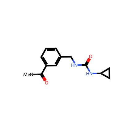 CNC(=O)c1cccc(CNC(=O)NC2CC2)c1